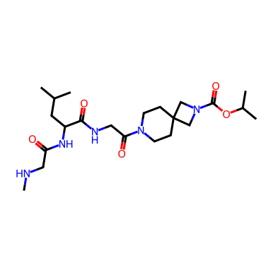 CNCC(=O)NC(CC(C)C)C(=O)NCC(=O)N1CCC2(CC1)CN(C(=O)OC(C)C)C2